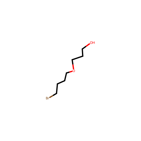 OCCCOCCCCBr